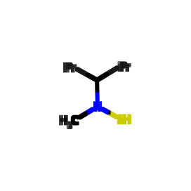 CC(C)C(C(C)C)N(C)S